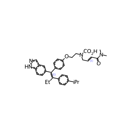 CC/C(=C(/c1ccc(OCCN(C/C=C/C(=O)N(C)C)C(=O)O)cc1)c1ccc2[nH]ncc2c1)c1ccc(C(C)C)cc1